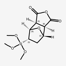 CO[Si](OC)(OC)[C@H]1C[C@@H]2O[C@@H]1[C@H]1C(=O)OC(=O)[C@H]12